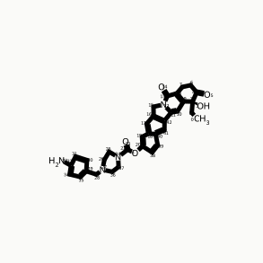 CC[C@@]1(O)C(=O)CCc2c1cc1n(c2=O)Cc2cc3cc(OC(=O)N4CCN(Cc5ccc(N)cc5)CC4)ccc3cc2-1